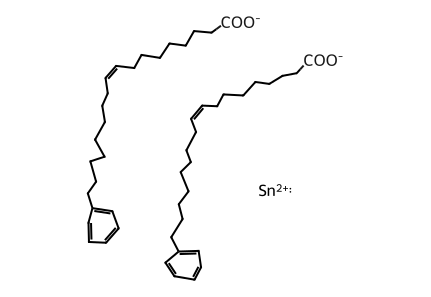 O=C([O-])CCCCCCC/C=C\CCCCCCCCc1ccccc1.O=C([O-])CCCCCCC/C=C\CCCCCCCCc1ccccc1.[Sn+2]